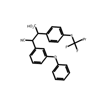 CC(C)C(F)(F)Sc1ccc(C(C(=O)O)C(C#N)c2cccc(Oc3ccccc3)c2)cc1